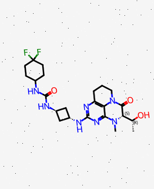 C[C@@H](O)[C@H]1C(=O)N2CCCc3nc(N[C@H]4C[C@H](NC(=O)NC5CCC(F)(F)CC5)C4)nc(c32)N1C